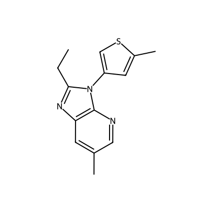 CCc1nc2cc(C)cnc2n1-c1csc(C)c1